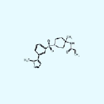 C=CC(=O)NC1(C)CCN(S(=O)(=O)c2cccc(-c3ccnn3C)c2)CC1